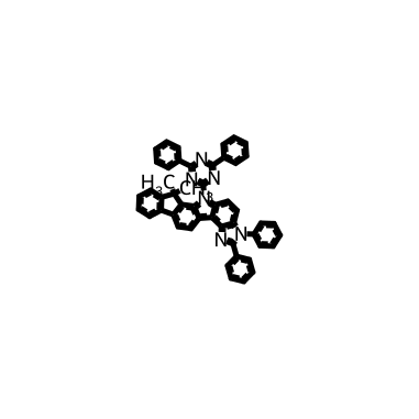 CC1(C)c2ccccc2-c2ccc3c4c5nc(-c6ccccc6)n(-c6ccccc6)c5ccc4n(-c4nc(-c5ccccc5)nc(-c5ccccc5)n4)c3c21